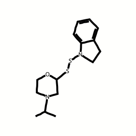 CC(C)N1CCOC(SSN2CCc3ccccc32)C1